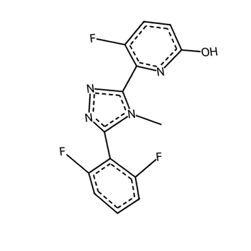 Cn1c(-c2nc(O)ccc2F)nnc1-c1c(F)cccc1F